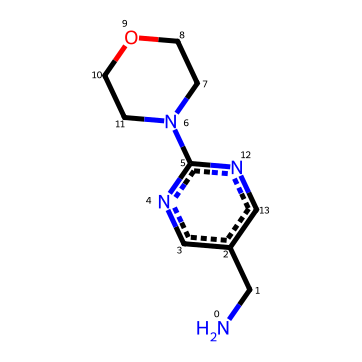 NCc1cnc(N2CCOCC2)nc1